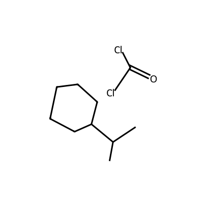 CC(C)C1CCCCC1.O=C(Cl)Cl